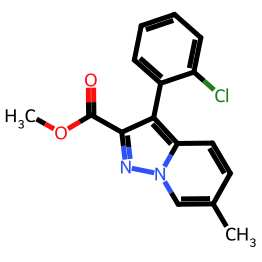 COC(=O)c1nn2cc(C)ccc2c1-c1ccccc1Cl